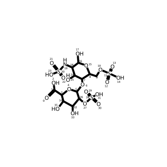 O=C(O)C1OC(OC2C(COS(=O)(=O)O)OC(O)C(NS(=O)(=O)O)C2O)C(OS(=O)(=O)O)C(O)C1O